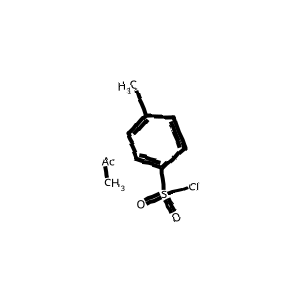 CC(C)=O.Cc1ccc(S(=O)(=O)Cl)cc1